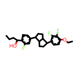 CCCC(O)c1ccc(C2CCC3C(c4ccc(OCC)c(F)c4F)CCC23)cc1F